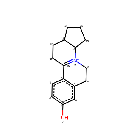 Oc1ccc2c(c1)CC[N+]1=C2CCC2CCCC21